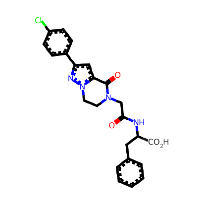 O=C(CN1CCn2nc(-c3ccc(Cl)cc3)cc2C1=O)NC(Cc1ccccc1)C(=O)O